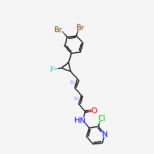 O=C(/C=C/C=C/C1C(F)C1c1ccc(Br)c(Br)c1)Nc1cccnc1Cl